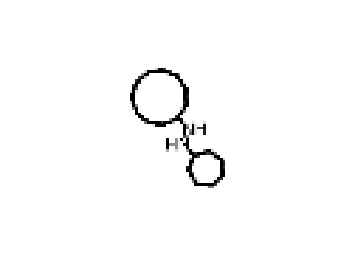 C1CCCCCC(NNC2CCCCCC2)CCCC1